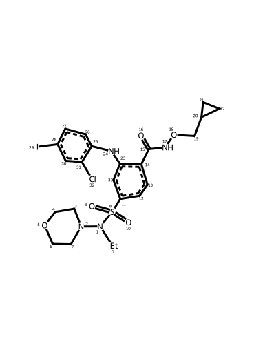 CCN(N1CCOCC1)S(=O)(=O)c1ccc(C(=O)NOCC2CC2)c(Nc2ccc(I)cc2Cl)c1